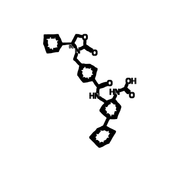 O=C(O)Nc1ccc(-c2ccccc2)cc1NC(=O)c1ccc(CN2C(=O)OC[C@@H]2c2ccccc2)cc1